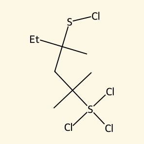 CCC(C)(CC(C)(C)S(Cl)(Cl)Cl)SCl